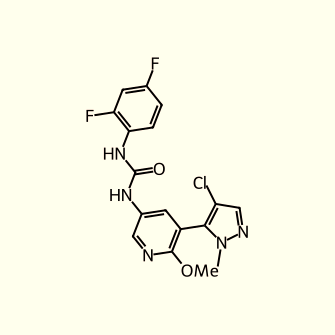 COc1ncc(NC(=O)Nc2ccc(F)cc2F)cc1-c1c(Cl)cnn1C